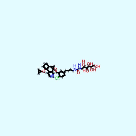 O=C(NCCCCc1ccc(Cl)c(COC2(c3cnccc3-c3ccccc3OC3CC3)CC2)c1)NCC(O)C(O)C(O)C(O)CO